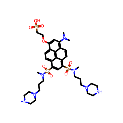 CN(C)c1cc(OCCS(=O)(=O)O)c2ccc3c(S(=O)(=O)N(C)CCCN4CCNCC4)cc(S(=O)(=O)N(C)CCCN4CCNCC4)c4ccc1c2c34